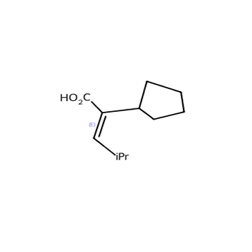 CC(C)/C=C(/C(=O)O)C1CCCC1